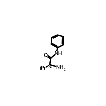 CC(C)[C@H](N)C(=O)Nc1ccccc1